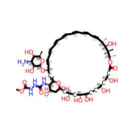 COC(=O)NNC(=O)N[C@H]1[C@@H]2C[C@@H](O[C@@H]3O[C@H](C)[C@@H](O)[C@H](N)[C@@H]3O)/C=C/C=C/C=C/C=C/C=C/C=C/C=C/[C@H](C)[C@@H](O)[C@@H](C)[C@H](C)OC(=O)C[C@H](O)C[C@H](O)CC[C@@H](O)[C@H](O)C[C@H](O)C[C@](O)(C[C@@H]1O)O2